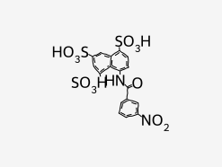 O=C(Nc1ccc(S(=O)(=O)O)c2cc(S(=O)(=O)O)cc(S(=O)(=O)O)c12)c1cccc([N+](=O)[O-])c1